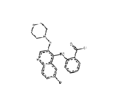 O=C(O)c1ccccc1Nc1c(SN2CCOCC2)cnc2ccc(Br)cc12